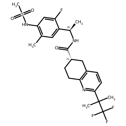 Cc1cc([C@@H](C)NC(=O)[C@H]2CCc3nc(C(C)(C)C(F)(F)F)ccc3C2)c(F)cc1NS(C)(=O)=O